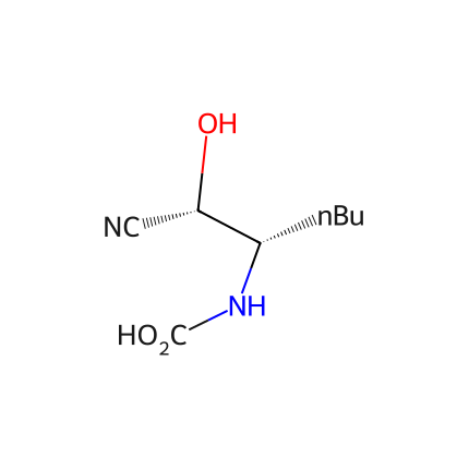 CCCC[C@H](NC(=O)O)[C@@H](O)C#N